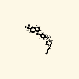 CCCCN1CCN(C(=O)c2ccc(Nc3ccnc4cc(C(F)(F)F)ccc34)cc2)CC1